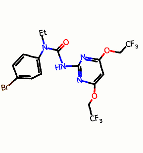 CCN(C(=O)Nc1nc(OCC(F)(F)F)cc(OCC(F)(F)F)n1)c1ccc(Br)cc1